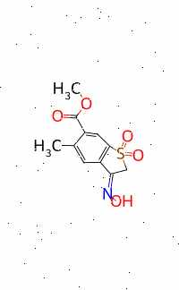 COC(=O)c1cc2c(cc1C)C(=NO)CS2(=O)=O